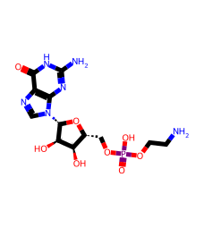 NCCOP(=O)(O)OC[C@H]1O[C@@H](n2cnc3c(=O)[nH]c(N)nc32)[C@H](O)[C@@H]1O